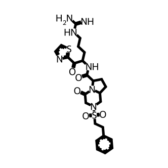 N=C(N)NCCCC(NC(=O)C1CCC2CN(S(=O)(=O)CCc3ccccc3)CC(=O)N21)C(=O)c1nccs1